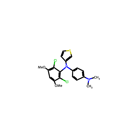 COc1cc(OC)c(Cl)c(N(c2ccc(N(C)C)cc2)c2ccsc2)c1Cl